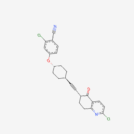 N#Cc1ccc(O[C@H]2CC[C@H](C#CC3CCc4nc(Cl)ccc4C3=O)CC2)cc1Cl